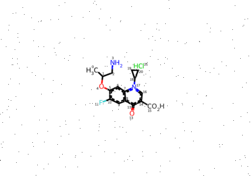 CC(CN)Oc1cc2c(cc1F)c(=O)c(C(=O)O)cn2C1CC1.Cl